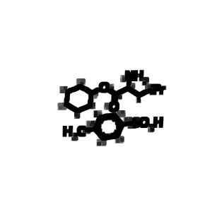 CC(C)C[C@H](N)C(=O)OC1CCCCC1.Cc1ccc(S(=O)(=O)O)cc1